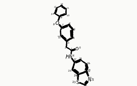 O=C(Cc1cccc(Oc2ccccc2)c1)Nc1ccc2ncsc2c1